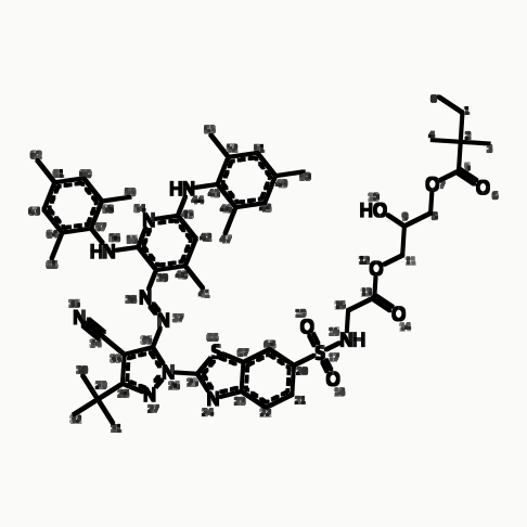 CCC(C)(C)C(=O)OCC(O)COC(=O)CNS(=O)(=O)c1ccc2nc(-n3nc(C(C)(C)C)c(C#N)c3N=Nc3c(C)cc(Nc4c(C)cc(C)cc4C)nc3Nc3c(C)cc(C)cc3C)sc2c1